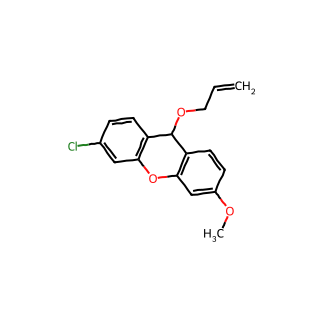 C=CCOC1c2ccc(Cl)cc2Oc2cc(OC)ccc21